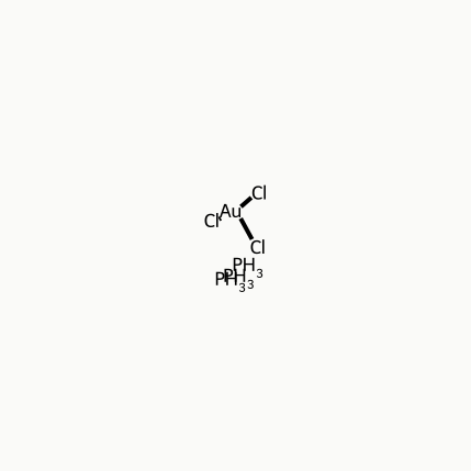 P.P.P.[Cl][Au]([Cl])[Cl]